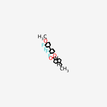 CCCC1CC[C@H]2C(C(=O)Oc3ccc(-c4ccc(OCC)c(F)c4F)c(F)c3F)CC[C@@H]12